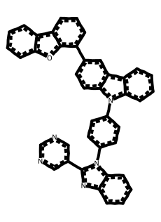 c1ccc2c(c1)nc(-c1cncnc1)n2-c1ccc(-n2c3ccccc3c3cc(-c4cccc5c4oc4ccccc45)ccc32)cc1